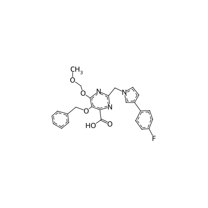 COCOc1nc(Cn2ccc(-c3ccc(F)cc3)c2)nc(C(=O)O)c1OCc1ccccc1